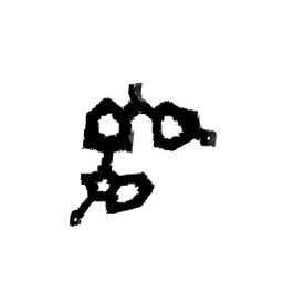 Clc1ccc(Nc2cccc(-n3nc(Cl)c4ccccc43)n2)cc1